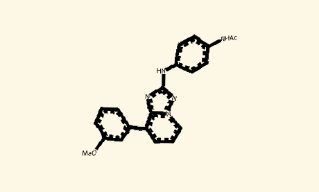 COc1cccc(-c2cccn3nc(Nc4ccc(NC(C)=O)cc4)nc23)c1